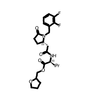 CC(C)[C@H](NC(=O)C[C@@H]1CCC(=O)N1Cc1cccc(F)c1F)C(=O)OCC1CCCO1